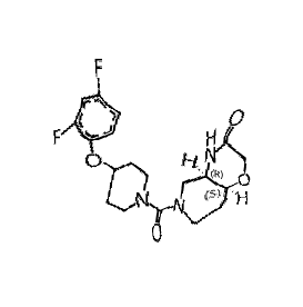 O=C1CO[C@H]2CCN(C(=O)N3CCC(Oc4ccc(F)cc4F)CC3)C[C@H]2N1